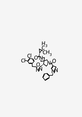 CC1(C)C[C@@H]1C(=O)N1CC2(CN(C(=O)c3cnn(Cc4ccccc4)c3)C[C@H]2c2nnc(Cc3ccc(Cl)c(Cl)c3)o2)C1